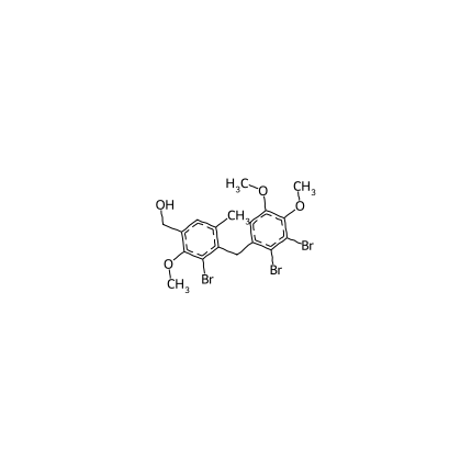 COc1cc(Cc2c(C)cc(CO)c(OC)c2Br)c(Br)c(Br)c1OC